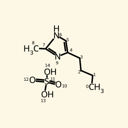 CCCCc1c[nH]c(C)n1.O=S(=O)(O)O